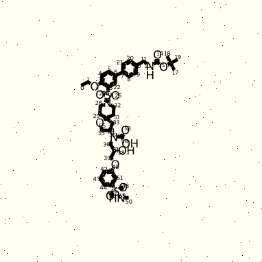 CCOc1ccc(-c2ccc(CNC(=O)OC(C)(C)C)cc2)cc1S(=O)(=O)N1CCC2(CC1)C[C@H](N(C[C@H](O)COc1cccc(S(=O)(=O)NC)c1)C(=O)O)CO2